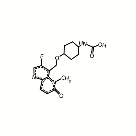 Cn1c(=O)ccc2ncc(F)c(COC3CCC(NC(=O)O)CC3)c21